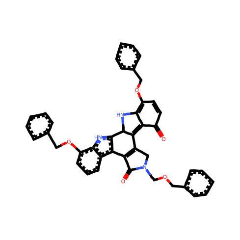 O=C1C=CC(OCc2ccccc2)=C2NC3C(=C12)C1=C(C(=O)N(COCc2ccccc2)C1)c1c3[nH]c2c(OCc3ccccc3)cccc12